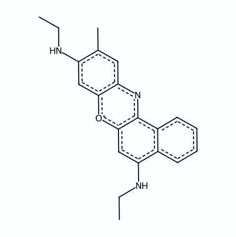 CCNc1cc2[o+]c3cc(NCC)c4ccccc4c3nc2cc1C